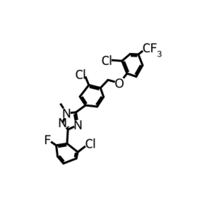 Cn1nc(-c2c(F)cccc2Cl)nc1-c1ccc(COc2ccc(C(F)(F)F)cc2Cl)c(Cl)c1